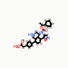 CC(OC(=O)Nc1cnoc1-c1ccc(-c2ccc(CC(=O)O)cc2)c2c1CCNC2)c1ccccc1